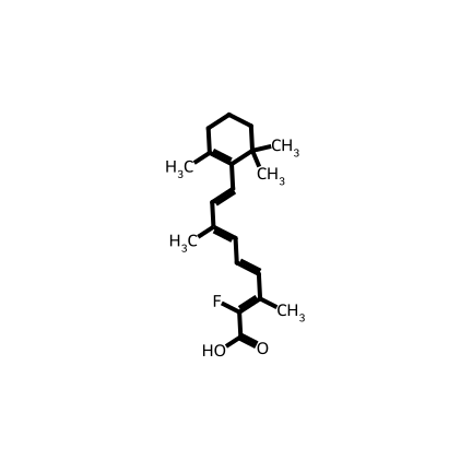 CC(C=CC1=C(C)CCCC1(C)C)=CC=CC(C)=C(F)C(=O)O